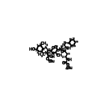 Cc1cc(O)cc(C)c1C[C@H](NC(=O)OC(C)(C)C)C(=O)N[C@H](C)C(=O)NC[C@H](Cc1ccccc1)NC(=O)CCNC(=O)OC(C)(C)C